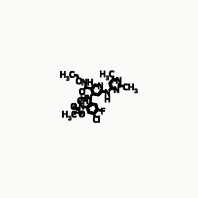 CCONC(=O)c1cnc(Nc2cc(C)nc(C)n2)cc1Nc1cc(F)c(Cl)cc1N(C)S(C)(=O)=O